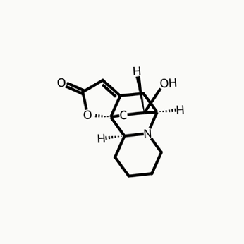 O=C1C=C2C[C@@H]3[C@@H](O)C[C@@]2(O1)[C@@H]1CCCCN31